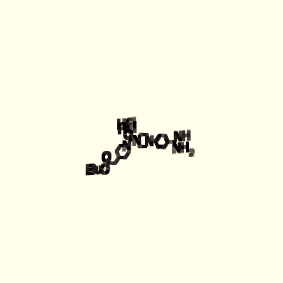 CC[C@@H](C)OC(=O)CC1CCN(C(=O)N2CCN(c3ccc(C(=N)N)cc3)CC2)CC1.Cl.Cl